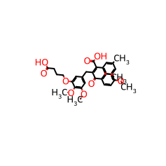 COc1ccc(C(=O)C(Cc2cc(OC)c(OC)c(OCCCC(=O)O)c2)=C(C(=O)O)c2cc(C)cc(C)c2)cc1